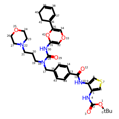 CC(C)(C)OC(=O)Nc1cscc1NC(=O)c1ccc(CN(CCCN2CCOCC2)C(=O)NC2=COC=C(C3=CC=CCC3)O2)cc1